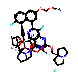 COCOc1cc(-c2ncc3c(N4CC5CCC(C6CCCO6)(C4)N5C(=O)OC(C)(C)C)nc(OC[C@@]45CCCN4C[C@H](F)C5)nc3c2F)c2c(C#C[Si](C(C)C)(C(C)C)C(C)C)c(F)ccc2c1